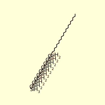 CCCCCCCCCCCCCCCCCCCCC[SiH2]O[SiH2]O[SiH2]O[SiH2]O[SiH2]O[SiH2]O[SiH2]O[SiH2]O[SiH2]O[SiH3]